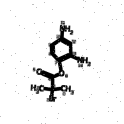 CC(C)(Br)C(=O)Oc1ccc(N)cc1N